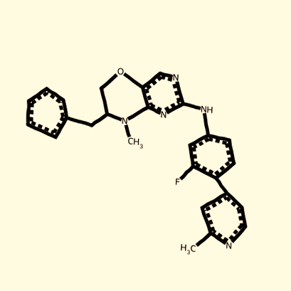 Cc1cc(-c2ccc(Nc3ncc4c(n3)N(C)C(Cc3ccccc3)CO4)cc2F)ccn1